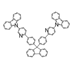 c1ccc2c(c1)-c1ccccc1C2(c1ccc(-c2ccc(-n3c4ccccc4c4ccccc43)cn2)cc1)c1ccc(-c2ccc(-n3c4ccccc4c4ccccc43)cn2)cc1